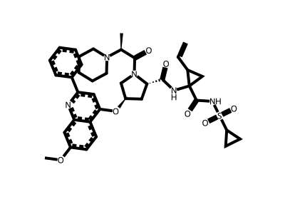 C=CC1CC1(NC(=O)[C@@H]1C[C@@H](Oc2cc(-c3ccccc3)nc3cc(OC)ccc23)CN1C(=O)[C@H](C)N1CCCCC1)C(=O)NS(=O)(=O)C1CC1